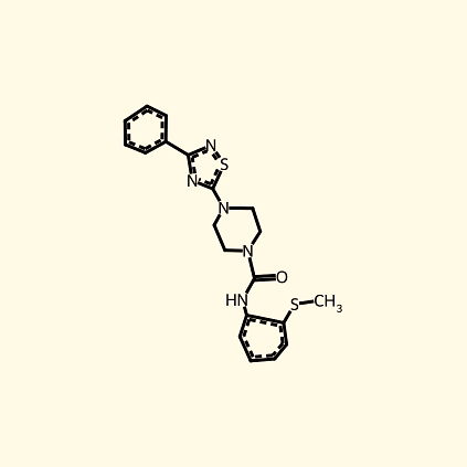 CSc1ccccc1NC(=O)N1CCN(c2nc(-c3ccccc3)ns2)CC1